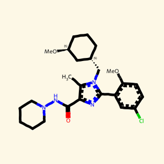 COc1ccc(Cl)cc1-c1nc(C(=O)NN2CCCCC2)c(C)n1C[C@H]1CCC[C@H](OC)C1